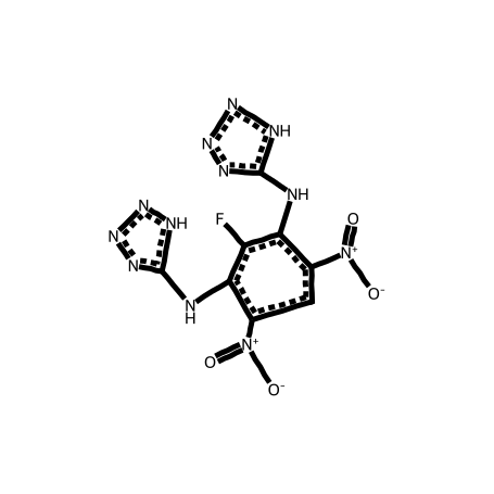 O=[N+]([O-])c1cc([N+](=O)[O-])c(Nc2nnn[nH]2)c(F)c1Nc1nnn[nH]1